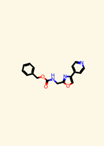 O=C(NCc1nc(-c2ccncc2)co1)OCc1ccccc1